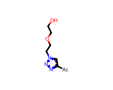 CC(=O)c1cn(CCOCCO)nn1